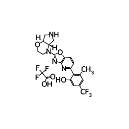 Cc1cc(C(F)(F)F)cc(O)c1-c1ccc2oc(N3CCO[C@H]4CNC[C@@H]43)nc2n1.O=C(O)C(F)(F)F